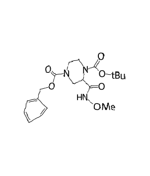 CONC(=O)C1CN(C(=O)OCc2ccccc2)CCN1C(=O)OC(C)(C)C